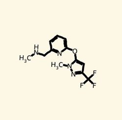 CNCc1cccc(Oc2cc(C(F)(F)F)nn2C)n1